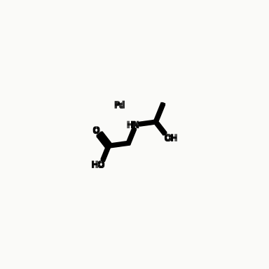 CC(O)NCC(=O)O.[Pd]